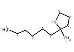 CCCCCCC1(C)SCCS1